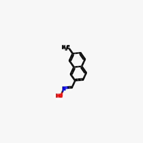 Cc1ccc2ccc(C=NO)cc2c1